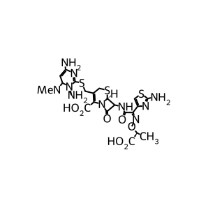 CNC1C=C(N)N=C(SCC2=C(C(=O)O)N3C(=O)C(NC(=O)/C(=N\O[C@@H](C)C(=O)O)c4csc(N)n4)[C@@H]3SC2)N1N